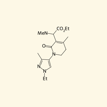 CCOC(=O)C(NC)C1=C(C)CCN(c2cn(CC)nc2C)C1=O